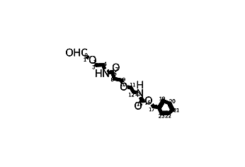 O=CCOCCNC(=O)CCOCCNC(=O)OCc1ccccc1